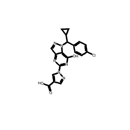 O=C(O)c1cnn(-c2nc(O)c3c(cnn3C(c3ccc(Cl)cc3)C3CC3)n2)c1